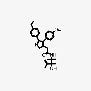 C=C(C)C(C)(O)C(C)(C)NC(=O)CC1=C(c2ccc(OC)cc2)C(c2ccc(CC)cc2)=NC1